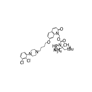 CPN(C(=O)OCn1c(=O)ccc2ccc(OCCCCN3CCN(c4cccc(Cl)c4Cl)CC3)cc21)C(C)(C)CC(C)(C)C